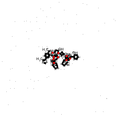 Cc1ncsc1-c1ccc([C@H](C)NC(=O)[C@@H]2C[C@@H](O)CN2C(=O)[C@H](c2cc(N3C4CCC3CC(CN3CCC(OC5CC(Oc6cc(N7C8CC[C@@H]7CN(c7cc(-c9ccccc9O)nnc7N)C8)ccn6)C5)CC3)C4)no2)C(C)C)cc1